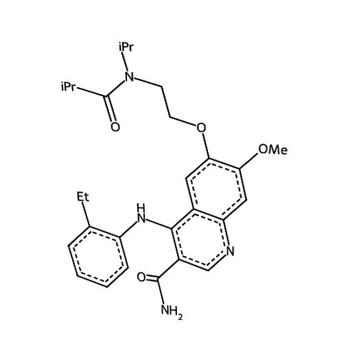 CCc1ccccc1Nc1c(C(N)=O)cnc2cc(OC)c(OCCN(C(=O)C(C)C)C(C)C)cc12